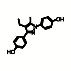 CCc1c(-c2ccc(O)cc2)nn(-c2ccc(O)cc2)c1C